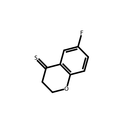 Fc1ccc2c(c1)C(=S)CCO2